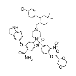 CC1(C)CCC(CN2CC[N+](c3ccc(C(N)=O)c(Oc4cnc5[nH]ccc5c4)c3)(S(=O)(=O)c3ccc(OC[C@@H]4COCCO4)c([N+](=O)[O-])c3)CC2)=C(c2ccc(Cl)cc2)C1